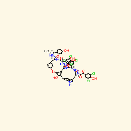 CN1C(=O)[C@@H](c2cc(Cl)c(O)c(Cl)c2)NC(=O)[C@@H]2NC(=O)[C@@H](c3cc(Cl)c(O)c(Cl)c3)NC(=O)[C@H](NC(=O)C(=O)c3cc(Cl)c(O)c(Cl)c3)Cc3c[nH]c4cc(ccc34)-c3cc2cc(c3O)Oc2ccc(cc2)C[C@H]1C(=O)N[C@@H](C(=O)O)c1ccc(O)cc1